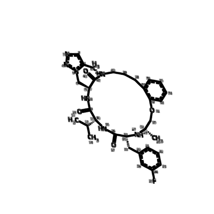 Cc1cnnn1C[C@@H]1NC(=O)[C@@H](C(C)C)NC(=O)[C@@H](Cc2cccc(F)c2)N[C@@H](C)COc2ccccc2CCCNC1=O